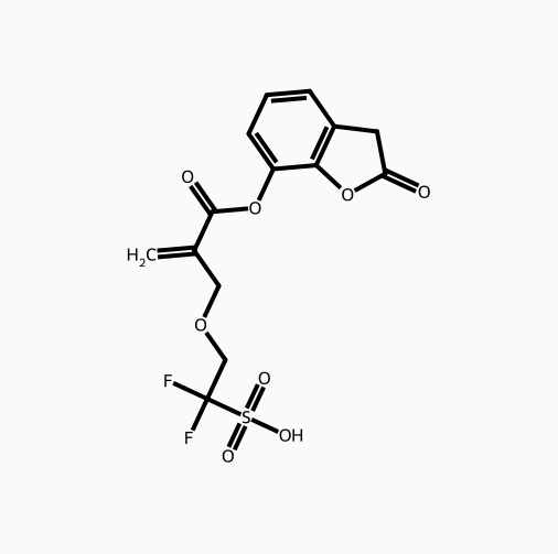 C=C(COCC(F)(F)S(=O)(=O)O)C(=O)Oc1cccc2c1OC(=O)C2